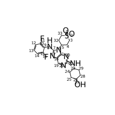 O=S1(=O)CCC(n2c(Nc3c(F)cccc3F)nc3cnc(N[C@H]4CC[C@H](O)CC4)nc32)CC1